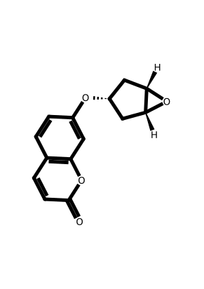 O=c1ccc2ccc(O[C@@H]3C[C@@H]4O[C@@H]4C3)cc2o1